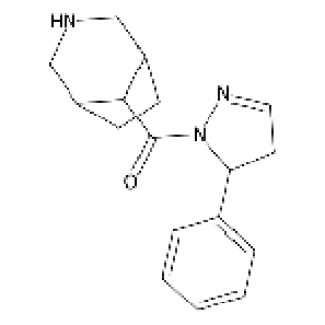 O=C(C1C2CCC1CNC2)N1N=CCC1c1ccccc1